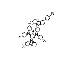 CC(C)(C)c1ccc(N2c3ccc(N4c5ccc(-c6ccc(C#N)cc6)cc5C5(C)CCCCC45C)cc3B3c4cc(C(C)(C)C)ccc4N(c4ccc(C(C)(C)C)cc4)c4cc(N5c6ccc(C(C)(C)C)cc6C6(C)CCCCC56C)cc2c43)cc1